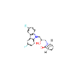 O=C1[C@@H]2CC[C@@H](C2)N1CC(O)Cn1c2ccc(F)cc2c2cc(F)ccc21